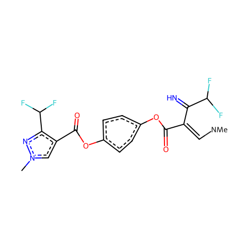 CN/C=C(\C(=N)C(F)F)C(=O)Oc1ccc(OC(=O)c2cn(C)nc2C(F)F)cc1